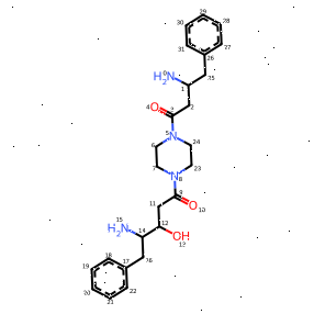 NC(CC(=O)N1CCN(C(=O)CC(O)C(N)Cc2ccccc2)CC1)Cc1ccccc1